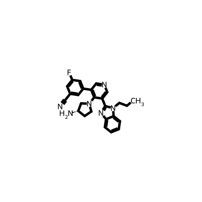 CCCn1c(-c2cncc(-c3cc(F)cc(C#N)c3)c2N2CC[C@H](N)C2)nc2ccccc21